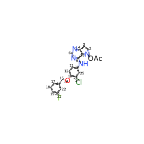 CC(=O)On1ccc2ncnc(Nc3ccc(OCc4cccc(F)c4)c(Cl)c3)c21